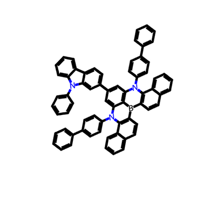 c1ccc(-c2ccc(N3c4cc(-c5ccc6c7ccccc7n(-c7ccccc7)c6c5)cc5c4B(c4ccc6ccccc6c43)c3ccc4ccccc4c3N5c3ccc(-c4ccccc4)cc3)cc2)cc1